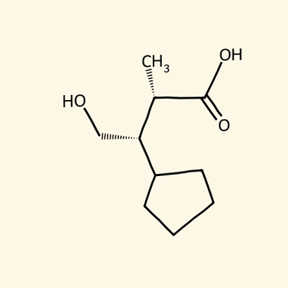 C[C@H](C(=O)O)[C@@H](CO)C1CCCC1